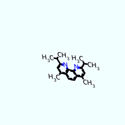 Cc1cc(C(C)C)nc2c1ccc1c(C)cc(C(C)C)nc12